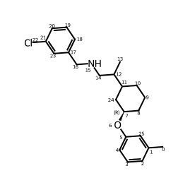 Cc1cccc(O[C@@H]2CCCC(C(C)CNCc3cccc(Cl)c3)C2)c1